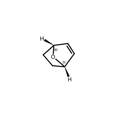 C1=C[C@H]2CC[C@@H]1O2